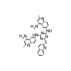 Cc1cc(N)c2cc(Nc3nc(Nc4ccc5nc(C)cc(N)c5c4)nc(Sc4ccc5ccccc5n4)n3)ccc2n1